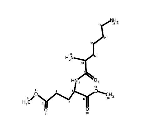 COC(=O)CCC(NC(=O)C(N)CCCCN)C(=O)OC